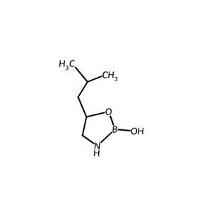 CC(C)CC1CNB(O)O1